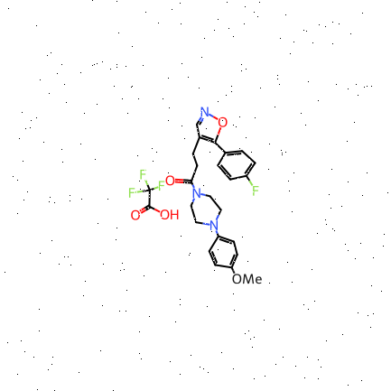 COc1ccc(N2CCN(C(=O)CCc3cnoc3-c3ccc(F)cc3)CC2)cc1.O=C(O)C(F)(F)F